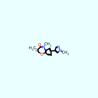 C[C@H]1COc2ccc(-c3cnn(C)c3)cc2N(C)C1=O